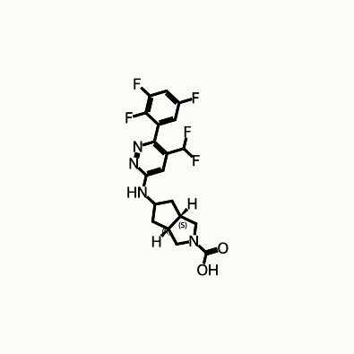 O=C(O)N1C[C@H]2CC(Nc3cc(C(F)F)c(-c4cc(F)cc(F)c4F)nn3)C[C@H]2C1